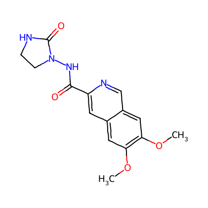 COc1cc2cnc(C(=O)NN3CCNC3=O)cc2cc1OC